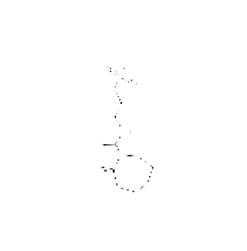 O=C1CCCCCN1C(=O)NCCCS(=O)(=O)O